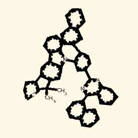 CC1(C)c2ccccc2-c2cc3c4ccccc4n(-c4cc(-c5nc(-c6cccc7ccccc67)c6ccccc6n5)ccc4-c4ccc5ccccc5c4)c3cc21